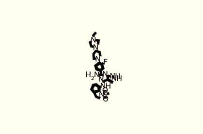 CCN1CCN(C2CCN(c3ccc(C4(N)N=C5NNC=C5C(Nc5cccc6c5N(S(C)(=O)=O)CC6)=N4)cc3F)CC2)CC1